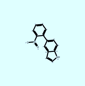 O=[N+]([O-])c1ccccc1-c1ccc2[nH]ccc2c1